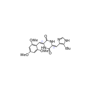 COc1cc(OC)c(/C=c2\[nH]c(=O)/c(=C/c3nc[nH]c3C(C)(C)C)[nH]c2=O)c(OC)c1